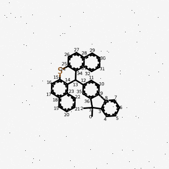 CC1(C)c2ccccc2-c2ccc(C3c4c(ccc5ccccc45)Sc4ccc5ccccc5c43)cc21